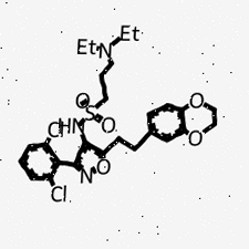 CCN(CC)CCCS(=O)(=O)Nc1c(-c2c(Cl)cccc2Cl)noc1CCc1ccc2c(c1)OCCO2